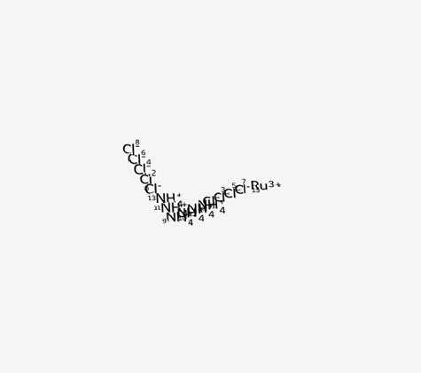 [Cl-].[Cl-].[Cl-].[Cl-].[Cl-].[Cl-].[Cl-].[Cl-].[Cl-].[NH4+].[NH4+].[NH4+].[NH4+].[NH4+].[NH4+].[Ru+3]